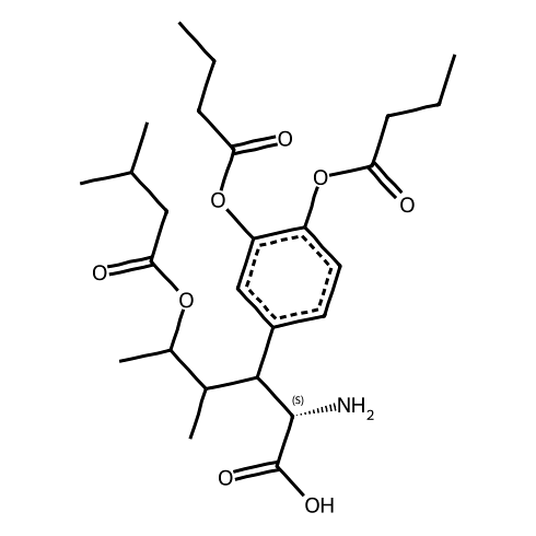 CCCC(=O)Oc1ccc(C(C(C)C(C)OC(=O)CC(C)C)[C@H](N)C(=O)O)cc1OC(=O)CCC